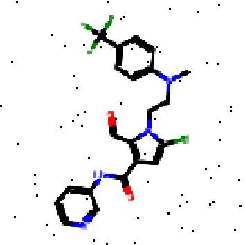 CN(CCn1c(Cl)cc(C(=O)Nc2cccnc2)c1C=O)c1ccc(C(F)(F)F)cc1